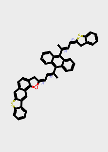 C/C(=C\C=C1/Cc2ccc3cc4sc5ccccc5c4cc3c2O1)c1c2ccccc2c(/C(C)=C/C=C2\Cc3ccccc3S2)c2ccccc12